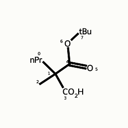 CCCC(C)(C(=O)O)C(=O)OC(C)(C)C